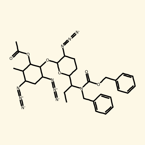 CCC(C1CCC(N=[N+]=[N-])C(OC2C(N=[N+]=[N-])CC(N=[N+]=[N-])C(C)C2OC(C)=O)O1)N(Cc1ccccc1)C(=O)OCc1ccccc1